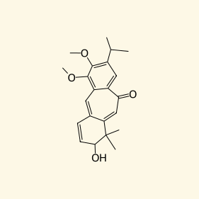 COc1c(C(C)C)cc2c(=O)cc3c(cc2c1OC)C=CC(O)C3(C)C